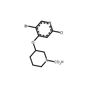 O=C(O)N1CCCC(Oc2cc(Cl)ncc2Br)C1